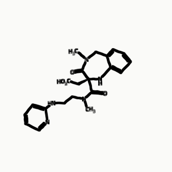 CN(CCNc1ccccn1)C(=O)[C@@]1(CC(=O)O)Nc2ccccc2CN(C)C1=O